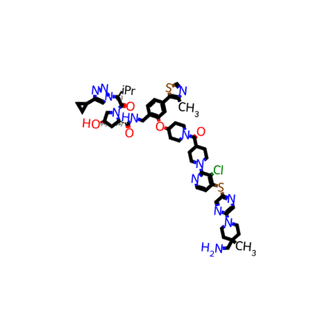 Cc1ncsc1-c1ccc(CNC(=O)[C@@H]2C[C@@H](O)CN2C(=O)[C@H](C(C)C)n2cc(C3CC3)nn2)c(OC2CCN(C(=O)C3CCN(c4nccc(Sc5cnc(N6CCC(C)(CN)CC6)cn5)c4Cl)CC3)CC2)c1